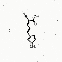 Cn1ccc(C=CC=C(C#N)C(=O)O)c1